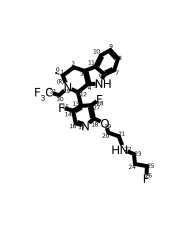 C[C@@H]1Cc2c([nH]c3ccccc23)C(c2c(F)cnc(OCCNCCCF)c2F)N1CC(F)(F)F